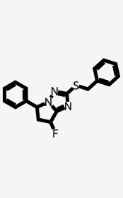 FC1CC(c2ccccc2)n2nc(SCc3ccccc3)nc21